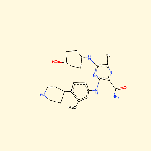 CCc1nc(C(N)=O)c(Nc2ccc(C3CCNCC3)c(OC)c2)nc1N[C@H]1CC[C@H](O)CC1